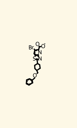 COC(=O)c1nc2nc(C3CCC(COCc4ccccc4)CC3)sc2cc1Br